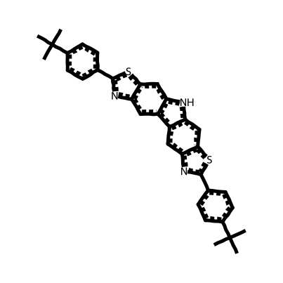 CC(C)(C)c1ccc(-c2nc3cc4c(cc3s2)[nH]c2cc3sc(-c5ccc(C(C)(C)C)cc5)nc3cc24)cc1